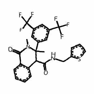 CN1C(=O)c2ccccc2C(C(=O)NCc2cccs2)C1(C)c1cc(C(F)(F)F)cc(C(F)(F)F)c1